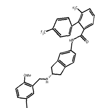 COc1ccc(OC)c(CN[C@H]2Cc3ccc(NC(=O)c4cccc(C)c4-c4ccc(C(F)(F)F)cc4)cc3C2)c1